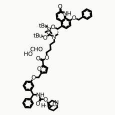 CC(C)(C)OC(=O)N(CCCCOC(=O)c1ccc(COc2cccc(C(NC(=O)O[C@H]3CN4CCC3CC4)c3ccccc3)c2)o1)C[C@H](O[Si](C)(C)C(C)(C)C)c1ccc(OCc2ccccc2)c2[nH]c(=O)ccc12.O=CO